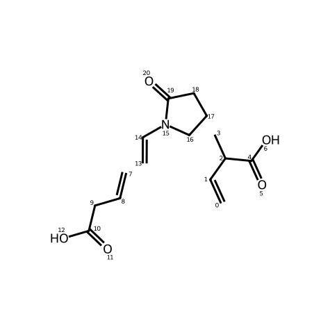 C=CC(C)C(=O)O.C=CCC(=O)O.C=CN1CCCC1=O